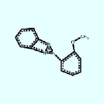 COc1ccccc1-n1n2c3ccccc3n12